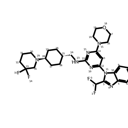 FC(F)c1nc2ccccc2n1-c1cc(N2CCOCC2)nc(NC[C@H]2CC[C@H](N3CCCC(F)(F)C3)CC2)n1